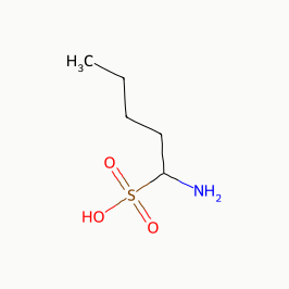 CCCCC(N)S(=O)(=O)O